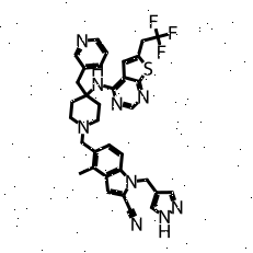 Cc1c(CN2CCC(Cc3cccnc3)(Nc3ncnc4sc(CC(F)(F)F)cc34)CC2)ccc2c1cc(C#N)n2Cc1cn[nH]c1